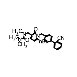 CCCCc1ccc(CN(C)C(=O)N(C)C)c(=O)n1Cc1ccc(-c2ccccc2C#N)cc1